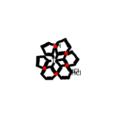 C1=CC[C]([Ti]([c]2ccccc2)([c]2ccccc2)([c]2ccccc2)([c]2ccccc2)[c]2ccc[pH]2)=C1.Cl.Cl